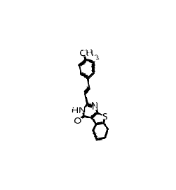 Cc1ccc(C=Cc2nc3sc4c(c3c(=O)[nH]2)CCCC4)cc1